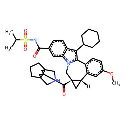 COc1ccc2c(c1)[C@@H]1C[C@]1(C(=O)C1CC34CCCC3(CNC4)C1)Cn1c-2c(C2CCCCC2)c2ccc(C(=O)NS(=O)(=O)C(C)C)cc21